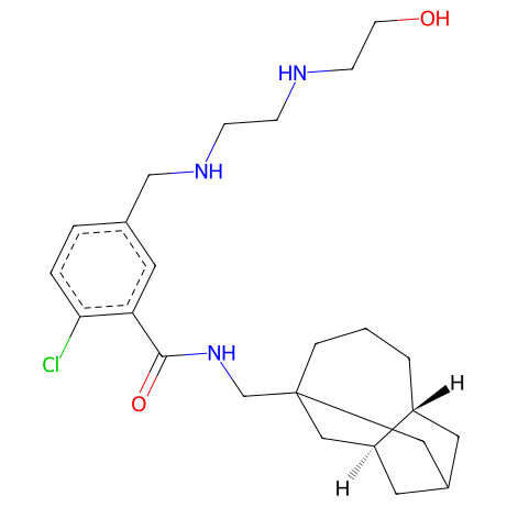 O=C(NCC12CCC[C@@H]3CC(C[C@H]3C1)C2)c1cc(CNCCNCCO)ccc1Cl